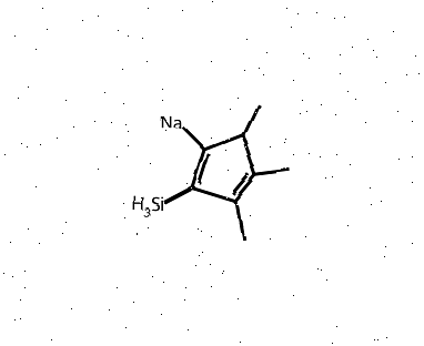 CC1=C(C)C(C)[C]([Na])=C1[SiH3]